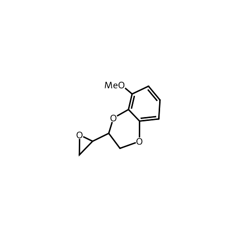 COc1cccc2c1OC(C1CO1)CO2